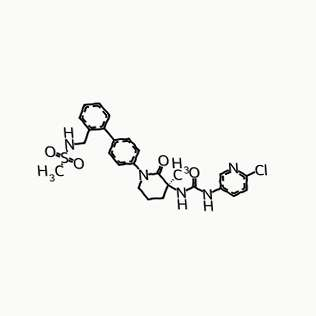 C[C@]1(NC(=O)Nc2ccc(Cl)nc2)CCCN(c2ccc(-c3ccccc3CNS(C)(=O)=O)cc2)C1=O